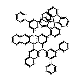 c1ccc(-c2cc(-c3ccccc3)cc(N3c4cc5ccccc5cc4B4c5cc6ccccc6cc5N(c5cc(-c6ccccc6)cc(-c6ccccc6)c5)c5cc(-c6cccc7c6-c6ccccc6C76c7ccccc7-c7ccccc76)cc3c54)c2)cc1